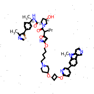 Cc1ncsc1-c1ccc([C@H](C)NC(=O)[C@@H]2C[C@@H](O)CN2C(=O)C(c2cc(OCCCCCN3CCC(O[C@H]4C[C@H](Oc5ccc(-c6ccc7c8cnccc8n(C)c7c6)cn5)C4)CC3)no2)C(C)C)cc1